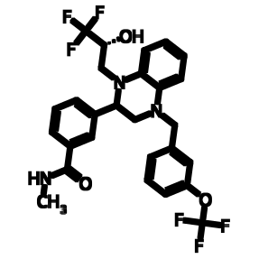 CNC(=O)c1cccc(C2CN(Cc3cccc(OC(F)(F)F)c3)c3ccccc3N2C[C@@H](O)C(F)(F)F)c1